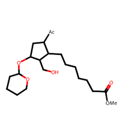 COC(=O)CCCCCCC1C(C(C)=O)CC(OC2CCCCO2)C1CO